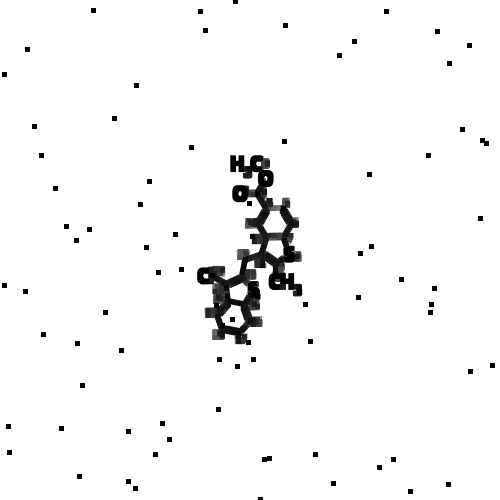 COC(=O)c1ccc2sc(C)c(Cc3sc4ccccc4c3Cl)c2c1